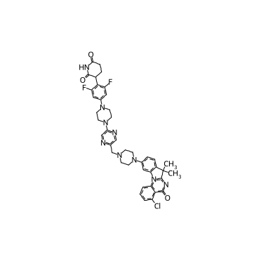 CC1(C)c2ccc(N3CCN(Cc4cnc(N5CCN(c6cc(F)c(C7CCC(=O)NC7=O)c(F)c6)CC5)cn4)CC3)cc2-n2c1nc(=O)c1c(Cl)cccc12